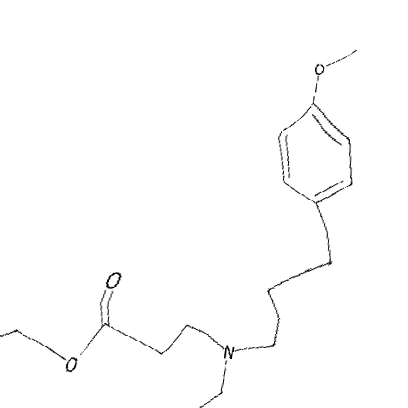 CCOC(=O)CCN(CC)CCCc1ccc(OC)cc1